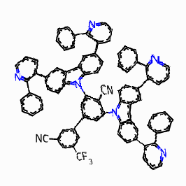 N#Cc1cc(-c2cc(-n3c4ccc(-c5cccnc5-c5ccccc5)cc4c4cc(-c5cccnc5-c5ccccc5)ccc43)c(C#N)c(-n3c4ccc(-c5cccnc5-c5ccccc5)cc4c4cc(-c5cccnc5-c5ccccc5)ccc43)c2)cc(C(F)(F)F)c1